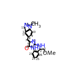 COCC(NC1=N/C(=C\c2ccc3c(cnn3C)c2)C(=O)N1)c1ccccc1